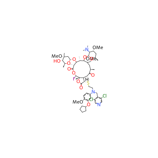 COc1ccc(N(CCS[C@@H]2C(=O)O[C@@]3(C)[C@H]2[C@@H](C)C(=O)[C@H](C)C[C@@](C)(OC)[C@H](O[C@@H]2O[C@H](C)C[C@@H](OC)[C@@H]2N(C)C)[C@@H](C)[C@H](O[C@H]2C[C@@](C)(OC)[C@@H](O)[C@H](C)O2)[C@@H](C)C(=O)O[C@@H]3I)Cc2c(Cl)cncc2Cl)cc1OC1CCCC1